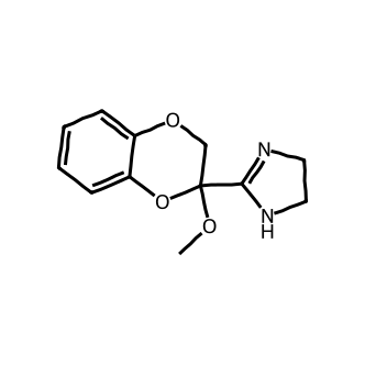 COC1(C2=NCCN2)COc2ccccc2O1